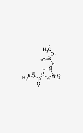 COC(=O)CN1CC(C(=O)OC)CC1=O